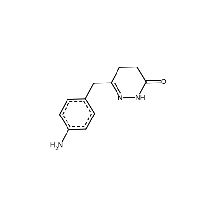 Nc1ccc(CC2=NNC(=O)CC2)cc1